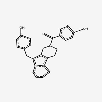 O=C(c1ccc(O)nc1)N1CCc2c(n(Cc3ccc(O)cc3)c3ccccc23)C1